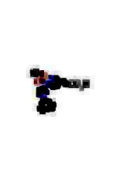 CC1(C)CC(N2CC[C@@H](N(C(=O)OC(C)(C)C)c3ccc(C=CC(=O)O)cn3)C2)CC(C)(C)C1